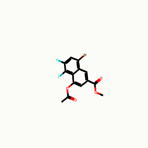 COC(=O)c1cc(OC(C)=O)c2c(F)c(F)cc(Br)c2c1